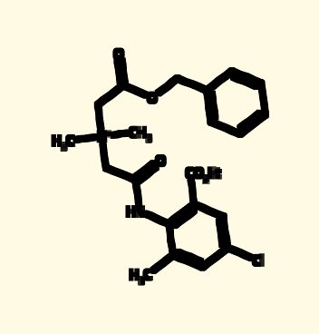 CCOC(=O)c1cc(Cl)cc(C)c1NC(=O)C[N+](C)(C)CC(=O)OCc1ccccc1